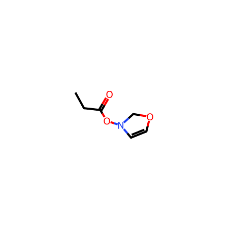 CCC(=O)ON1C=COC1